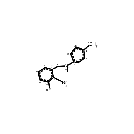 Cc1ccc(NCc2cccc(F)c2Br)cc1